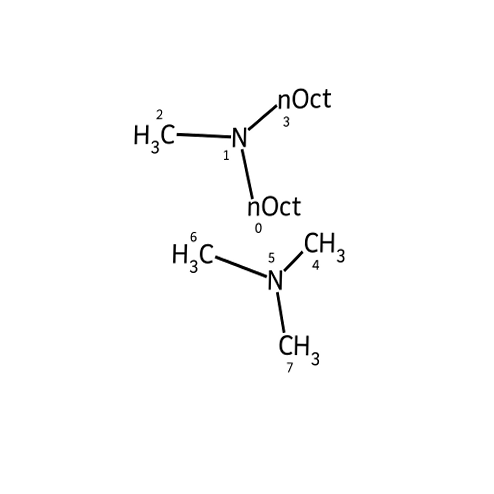 CCCCCCCCN(C)CCCCCCCC.CN(C)C